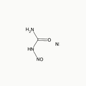 NC(=O)NN=O.[N]